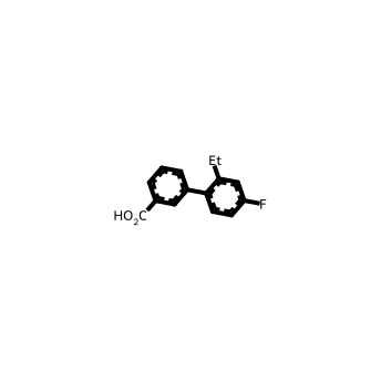 CCc1cc(F)ccc1-c1cccc(C(=O)O)c1